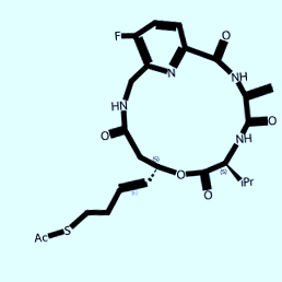 C=C1NC(=O)c2ccc(F)c(n2)CNC(=O)C[C@@H](/C=C/CCSC(C)=O)OC(=O)[C@H](C(C)C)NC1=O